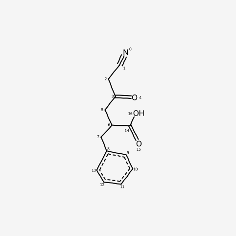 N#CCC(=O)CC(Cc1ccccc1)C(=O)O